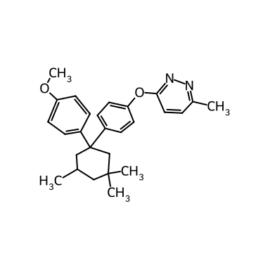 COc1ccc(C2(c3ccc(Oc4ccc(C)nn4)cc3)CC(C)CC(C)(C)C2)cc1